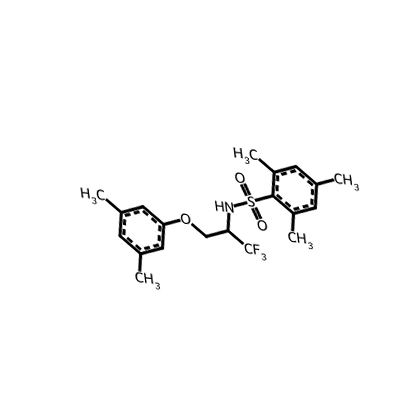 Cc1cc(C)cc(OCC(NS(=O)(=O)c2c(C)cc(C)cc2C)C(F)(F)F)c1